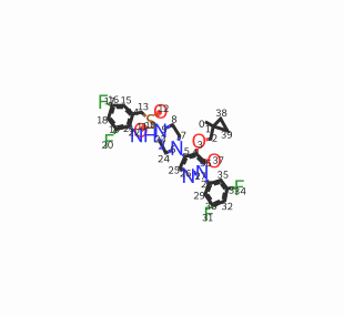 CC1(COc2c(N3CCN(S(=O)(=O)Cc4cc(F)cc(F)c4N)CC3)cnn(-c3cc(F)cc(F)c3)c2=O)CC1